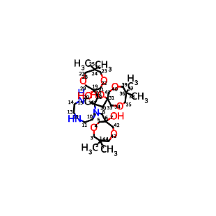 CC1(C)COCC(O)(CN2CCNCCNCC2(CC2(O)COCC(C)(C)COC2)CC2(O)COCC(C)(C)COC2)COC1